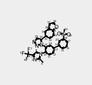 Cc1nc(C(F)(F)F)cn1-c1ccc(-c2cccc(S(C)(=O)=O)c2)cc1-n1nncc1-c1ccc2occc2c1